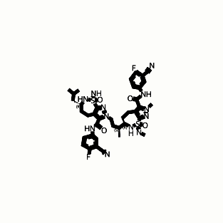 CN=S1(=O)N[C@@H]([C@@H](C)CCn2nc3c(c2C(=O)Nc2ccc(F)c(C#N)c2)CC[C@H](CC(C)C)NS3(=N)=O)CCc2c1nn(C)c2C(=O)Nc1ccc(F)c(C#N)c1